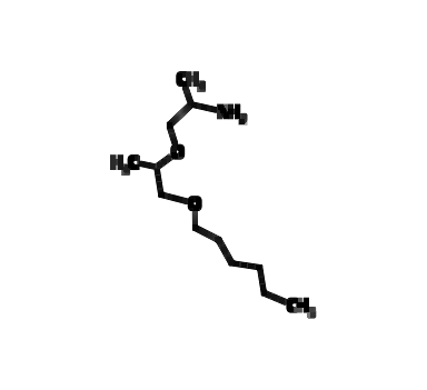 CCCCCCOCC(C)OCC(C)N